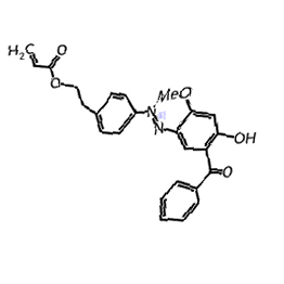 C=CC(=O)OCCc1ccc(/N=N/c2cc(C(=O)c3ccccc3)c(O)cc2OC)cc1